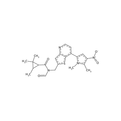 Cc1c([N+](=O)[O-])cc(-c2ccnc3cc(CN(C=O)C(=O)C4C(C)C4(C)C)sc23)n1C